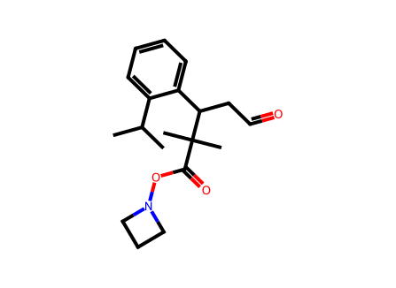 CC(C)c1ccccc1C(CC=O)C(C)(C)C(=O)ON1CCC1